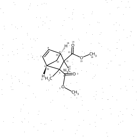 COC(=O)C1(C)[C@@H]2C=C[C@H](C2)C1(C)C(=O)OC